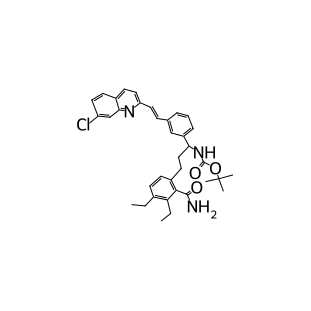 CCc1ccc(CCC(NC(=O)OC(C)(C)C)c2cccc(C=Cc3ccc4ccc(Cl)cc4n3)c2)c(C(N)=O)c1CC